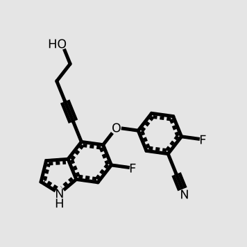 N#Cc1cc(Oc2c(F)cc3[nH]ccc3c2C#CCCO)ccc1F